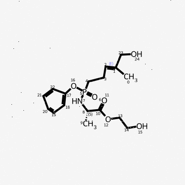 C/C(=C\CCP(=O)(N[C@@H](C)C(=O)OCCO)Oc1ccccc1)CO